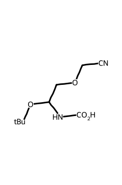 CC(C)(C)OC(COCC#N)NC(=O)O